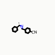 C[C@H](N=Cc1ccc(C#N)cc1)c1ccccc1